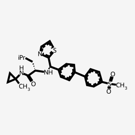 CC(C)C[C@H](N[C@@H](c1ccc(-c2ccc(S(C)(=O)=O)cc2)cc1)c1nccs1)C(=O)NC1(C)CC1